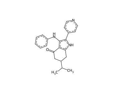 CC(C)C1CC(=O)c2c([nH]c(-c3ccncc3)c2Nc2ccccc2)C1